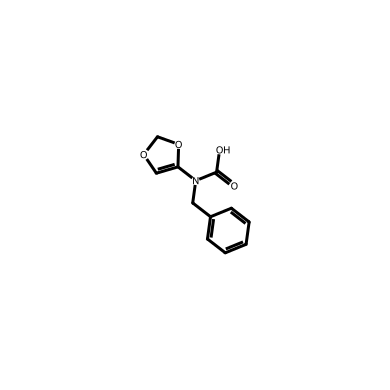 O=C(O)N(Cc1ccccc1)C1=COCO1